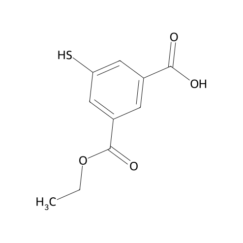 CCOC(=O)c1cc(S)cc(C(=O)O)c1